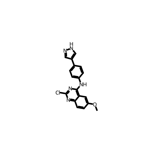 COc1ccc2nc(Cl)nc(Nc3ccc(-c4cn[nH]c4)cc3)c2c1